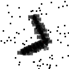 CCOc1ccccc1C(=O)O.Nc1ccc(C(=O)O)c(O)c1.Nc1ccc(O)c(C(=O)O)c1.Nc1cccc(C(=O)O)c1O.O=C(O)c1c(O)cc(O)cc1O.O=C(O)c1cc(O)c(O)cc1O.O=C(O)c1cc(O)ccc1O.O=C(O)c1ccc(O)c(O)c1O.O=C(O)c1ccc(O)cc1O.O=C(O)c1ccccc1Cl.OC(=S)c1ccccc1O.Oc1ccccc1O